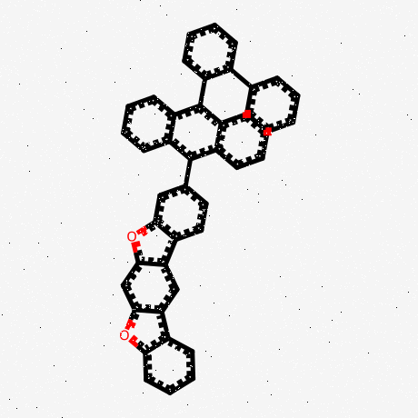 c1ccc(-c2ccccc2-c2c3ccccc3c(-c3ccc4c(c3)oc3cc5oc6ccccc6c5cc34)c3ccccc23)cc1